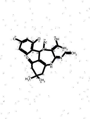 C=C/N=C1/NC2=C(C(=O)CC(C)(C)C2)C(c2ccc(Cl)cc2Cl)N(C(C)=O)/C1=C(/N)O